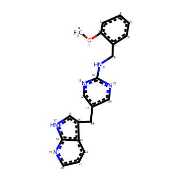 FC(F)(F)Oc1ccccc1CNc1ncc(Cc2c[nH]c3ncccc23)cn1